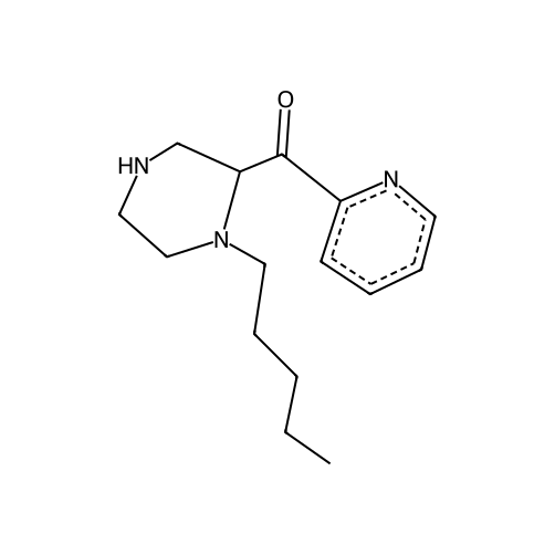 CCCCCN1CCNCC1C(=O)c1ccccn1